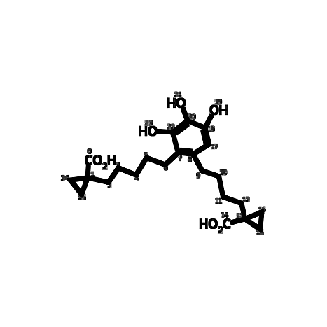 O=C(O)C1(CCCCCc2c(CCCCC3(C(=O)O)CC3)cc(O)c(O)c2O)CC1